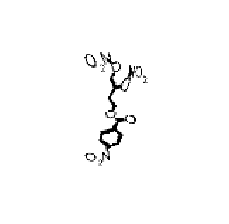 O=C(OCCC(CO[N+](=O)[O-])O[N+](=O)[O-])c1ccc([N+](=O)[O-])cc1